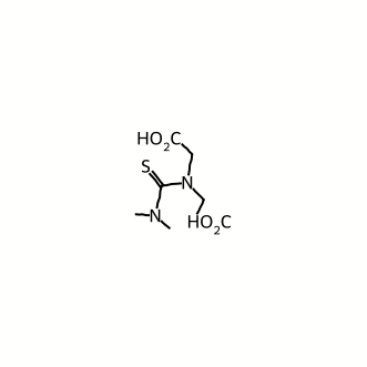 CN(C)C(=S)N(CC(=O)O)CC(=O)O